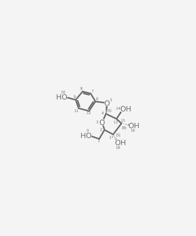 OCC1O[C@@H](Oc2ccc(O)cc2)C(O)[C@H](O)[C@@H]1O